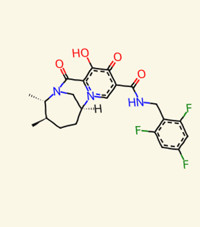 C[C@@H]1CC[C@H]2CN(C(=O)c3c(O)c(=O)c(C(=O)NCc4c(F)cc(F)cc4F)cn32)[C@H]1C